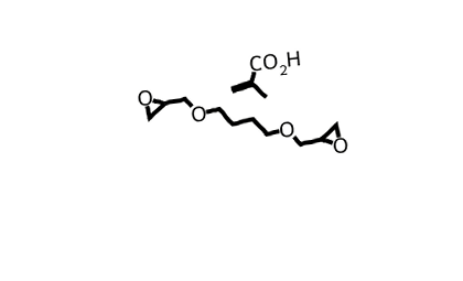 C(CCOCC1CO1)COCC1CO1.C=C(C)C(=O)O